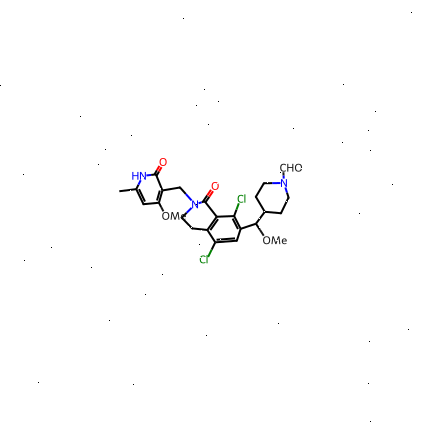 COc1cc(C)[nH]c(=O)c1CN1CCc2c(Cl)cc(C(OC)C3CCN(C=O)CC3)c(Cl)c2C1=O